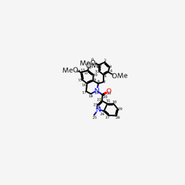 COc1ccc(OC)c(CC2c3cc(OC)c(OC)cc3CCN2C(=O)c2cn(C)c3ccccc23)c1